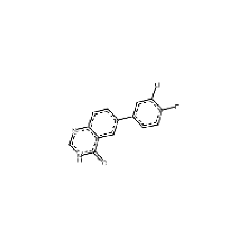 O=c1[nH]cnc2ccc(-c3ccc(F)c(Cl)c3)cc12